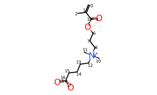 C=C(C)C(=O)OCCC[N+](C)(C)CCCCC(=O)[O-]